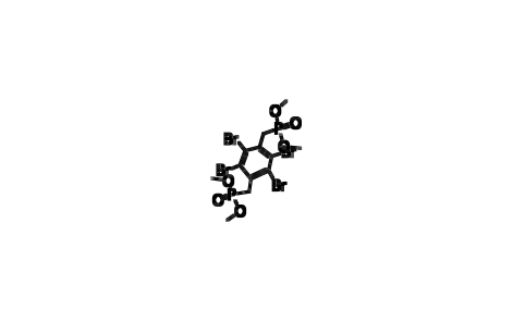 COP(=O)(Cc1c(Br)c(Br)c(CP(=O)(OC)OC)c(Br)c1Br)OC